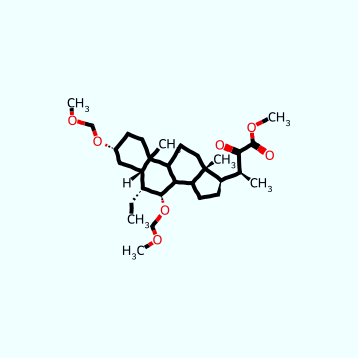 CC[C@H]1[C@@H](OCOC)C2C(CC[C@@]3(C)C2CC[C@@H]3[C@H](C)C(=O)C(=O)OC)C2(C)CC[C@@H](OCOC)C[C@@H]12